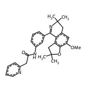 COc1cc2c(c3c1OC(C)(C)C3)C(c1cccc(NC(=O)Cc3ccccn3)c1)=NC(C)(C)C2